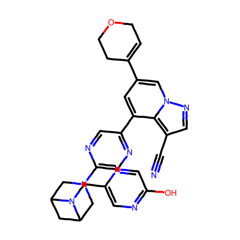 N#Cc1cnn2cc(C3=CCOCC3)cc(-c3cnc(N4CC5CC(C4)N5Cc4cnc(O)cn4)cn3)c12